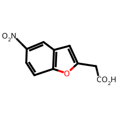 O=C(O)Cc1cc2cc([N+](=O)[O-])ccc2o1